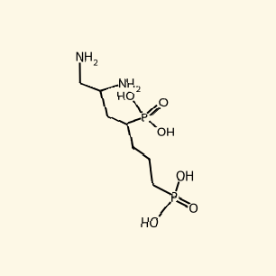 NCC(N)CC(CCCP(=O)(O)O)P(=O)(O)O